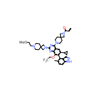 C=CC(=O)N1CC2(CCN(c3nc(N4CC5(CCN(CCOC)CC5)C4)nc4c(OCC(F)(F)F)c(-c5c(C)ccc6[nH]ncc56)c(C5CC5)cc34)CC2)C1